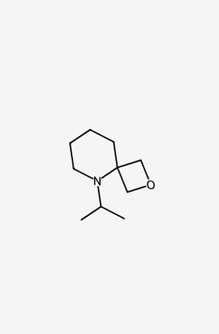 CC(C)N1CCCCC12COC2